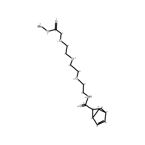 CC(C)(C)OC(=O)COCCOCCOCCNC(=O)C1CC2C=CC1C2